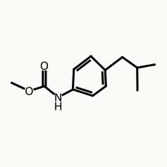 COC(=O)Nc1ccc(CC(C)C)cc1